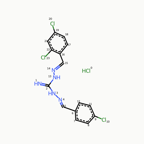 Cl.N=C(NN=Cc1ccc(Cl)cc1)NN=Cc1ccc(Cl)cc1Cl